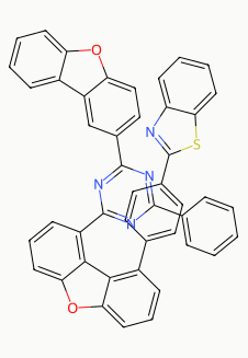 c1ccc(-c2nc(-c3ccc4oc5ccccc5c4c3)nc(-c3cccc4oc5cccc(-c6ccc(-c7nc8ccccc8s7)cc6)c5c34)n2)cc1